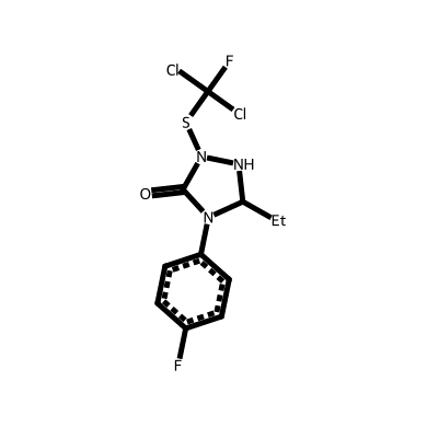 CCC1NN(SC(F)(Cl)Cl)C(=O)N1c1ccc(F)cc1